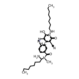 CCCCCCCCNn1c(O)c(/N=N\c2ccc(C(=O)N(C)C(N)CCCCCCC)cc2)c(C)c(C#N)c1=O